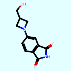 O=C1NC(=O)c2cc(N3CC(CO)C3)ccc21